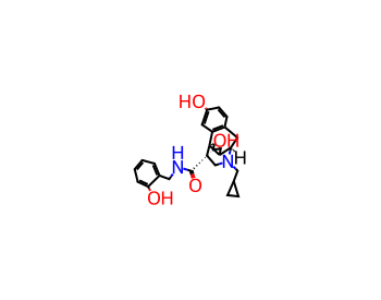 O=C(NCc1ccccc1O)[C@@H]1C[C@]23CCN(CC4CC4)[C@H](Cc4ccc(O)cc42)[C@]3(O)C1